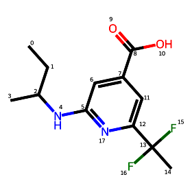 CCC(C)Nc1cc(C(=O)O)cc(C(C)(F)F)n1